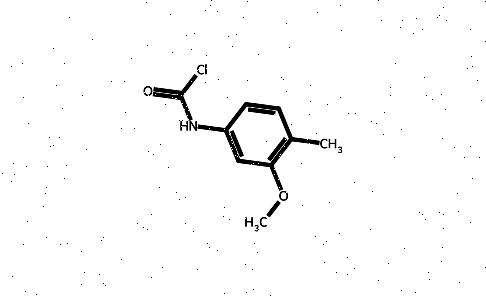 COc1cc(NC(=O)Cl)ccc1C